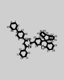 c1ccc(-c2ccc(-c3cc(-c4ccccc4)nc(-c4ccc5c(c4)Oc4ccccc4C54c5ccccc5-c5ccccc54)n3)cc2)cc1